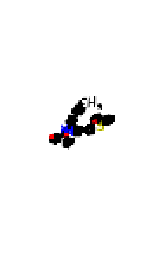 Cc1ccc(-c2ccc3c(c2)c2cc(-c4cccc(-c5cccc6c5sc5ccccc56)c4)ccc2n2c(-c4ccccc4)c(-c4ccccc4)nc32)cc1